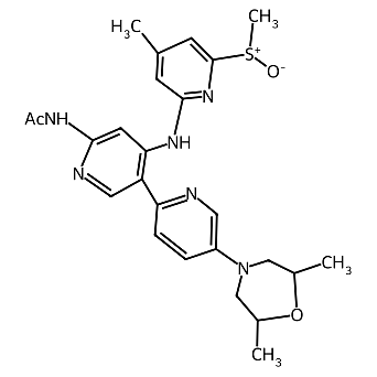 CC(=O)Nc1cc(Nc2cc(C)cc([S+](C)[O-])n2)c(-c2ccc(N3CC(C)OC(C)C3)cn2)cn1